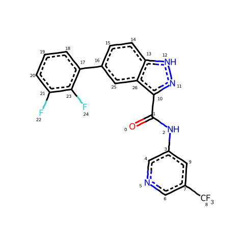 O=C(Nc1cncc(C(F)(F)F)c1)c1n[nH]c2ccc(-c3cccc(F)c3F)cc12